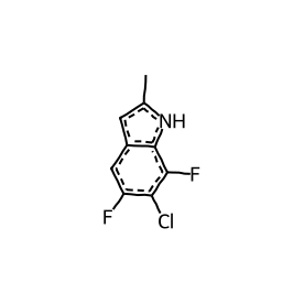 Cc1cc2cc(F)c(Cl)c(F)c2[nH]1